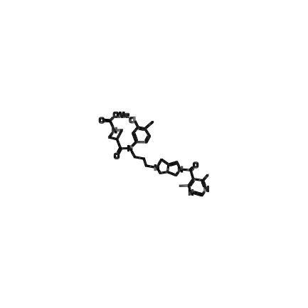 COC(=O)N1CC(C(=O)N(CCCN2CC3=CN(C(=O)c4c(C)ncnc4C)CC3C2)c2ccc(C)c(Cl)c2)C1